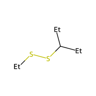 CCSSC(CC)CC